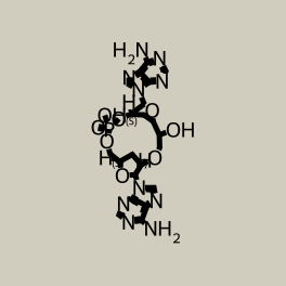 Nc1ncnc2c1ncn2C1O[C@@H]2COP(=O)(O)O[C@H]3CC(OC3n3cnc4c(N)ncnc43)C(O)CO[C@H]1C2